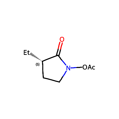 CC[C@H]1CCN(OC(C)=O)C1=O